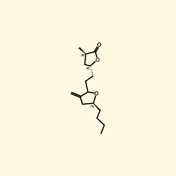 C=C1C[C@H](CCCC)OC1CC[C@@H]1C[C@@H](C)C(=O)O1